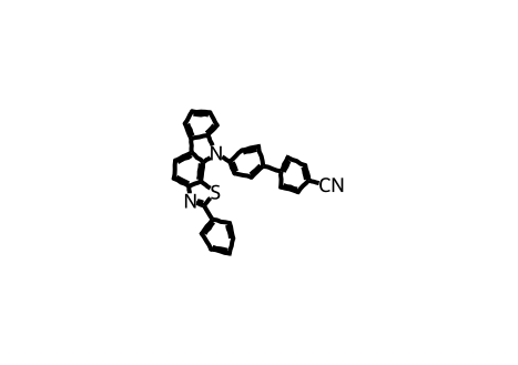 N#Cc1ccc(-c2ccc(-n3c4ccccc4c4ccc5nc(-c6ccccc6)sc5c43)cc2)cc1